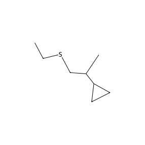 CCSCC(C)C1CC1